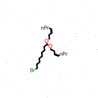 CCC/C=C\CCOC(CCCCCCCCBr)OCC/C=C\CCC